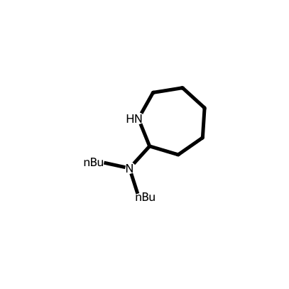 CCCCN(CCCC)C1CCCCCN1